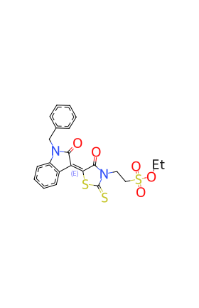 CCOS(=O)(=O)CCN1C(=O)/C(=C2\C(=O)N(Cc3ccccc3)c3ccccc32)SC1=S